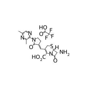 Cc1cnc(N2CCC(=CC3=C(C(=O)O)N4C(=O)[C@@H](N)[C@H]4SC3)C2=O)c(C)n1.O=C(O)C(F)(F)F